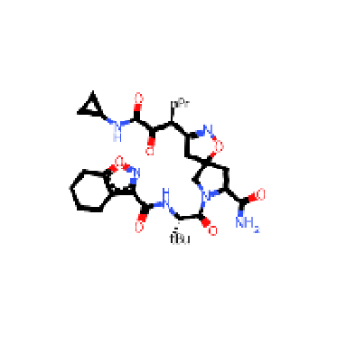 CCC[C@H](C(=O)C(=O)NC1CC1)C1=NOC2(C1)CC(C(N)=O)N(C(=O)[C@@H](NC(=O)c1noc3c1CCCC3)C(C)(C)C)C2